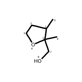 CC1CCOC1(C)CO